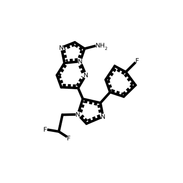 Nc1cnc2ccc(-c3c(-c4ccc(F)cc4)ncn3CC(F)F)nn12